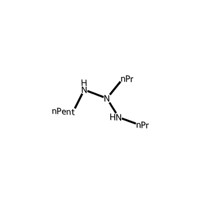 CCCCCNN(CCC)NCCC